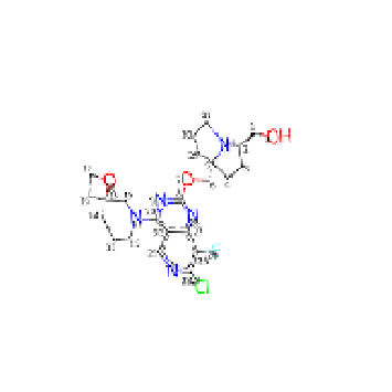 OC[C@H]1CC[C@@]2(COc3nc(N4CCC[C@@]5(CCO5)C4)c4cnc(Cl)c(F)c4n3)CCCN12